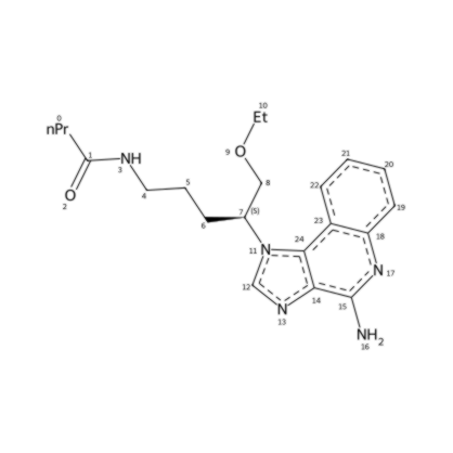 CCCC(=O)NCCC[C@@H](COCC)n1cnc2c(N)nc3ccccc3c21